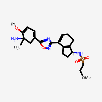 COCCS(=O)(=O)N[C@H]1CCC2=C1CCC=C2c1noc(C2=CC=C(OC(C)C)C(C)(N)C2)n1